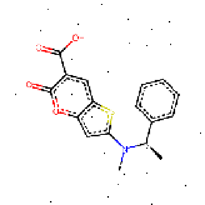 C[C@H](c1ccccc1)N(C)c1cc2oc(=O)c(C(=O)O)cc2s1